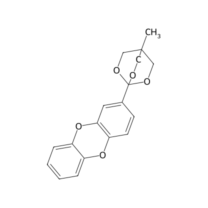 CC12COC(c3ccc4c(c3)Oc3ccccc3O4)(OC1)OC2